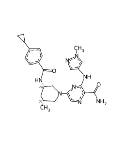 C[C@@H]1C[C@H](NC(=O)c2ccc(C3CC3)cc2)CN(c2cnc(C(N)=O)c(Nc3cnn(C)c3)n2)C1